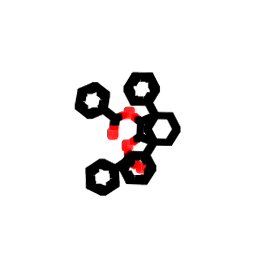 O=C(OC1C(OC(=O)c2ccccc2)C2(c3ccccc3)CCCC1(c1ccccc1)C2)c1ccccc1